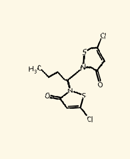 CCCC(n1sc(Cl)cc1=O)n1sc(Cl)cc1=O